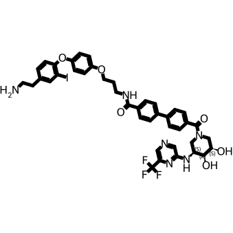 NCCc1ccc(Oc2ccc(OCCCNC(=O)c3ccc(-c4ccc(C(=O)N5C[C@H](Nc6cncc(C(F)(F)F)n6)[C@@H](O)[C@@H](O)C5)cc4)cc3)cc2)c(I)c1